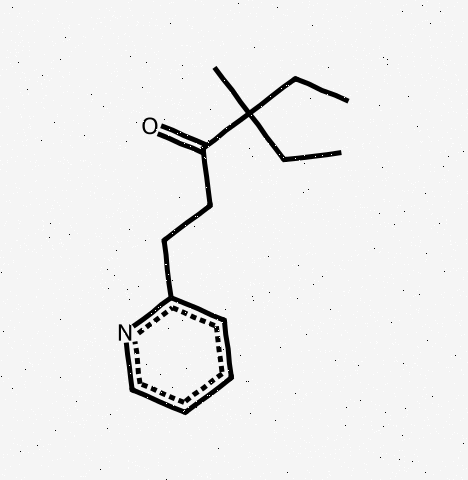 CCC(C)(CC)C(=O)CCc1ccccn1